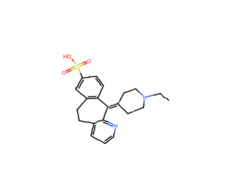 CCN1CCC(=C2c3ccc(S(=O)(=O)O)cc3CCc3cccnc32)CC1